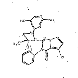 CC1(C)CN(c2nc(N)ncc2C#N)[C@@H]1c1nn2ccc(Cl)c2c(=O)n1-c1ccccc1